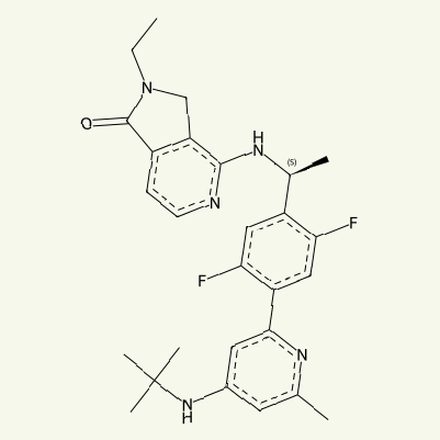 CCN1Cc2c(ccnc2N[C@@H](C)c2cc(F)c(-c3cc(NC(C)(C)C)cc(C)n3)cc2F)C1=O